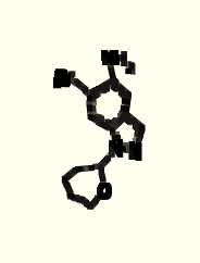 Nc1cc2cnn(C3CCCCO3)c2cc1Br